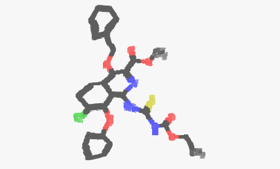 CCOC(=O)NC(=S)Nc1nc(C(=O)OC)c(OCc2ccccc2)c2ccc(Cl)c(Oc3ccccc3)c12